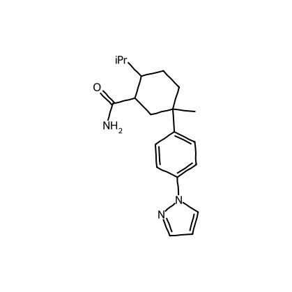 CC(C)C1CCC(C)(c2ccc(-n3cccn3)cc2)CC1C(N)=O